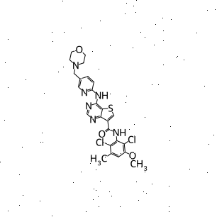 COc1cc(C)c(Cl)c(NC(=O)c2csc3c(Nc4ccc(CN5CCOCC5)cn4)ncnc23)c1Cl